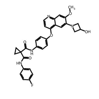 COc1cc2nccc(Oc3ccc(NC(=O)C4(C(=O)Nc5ccc(F)cc5)CC4)cc3)c2cc1N1CC(O)C1